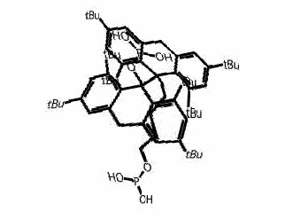 CC(C)(C)c1cc2c(c(C(C)(C)C)c1)C(CCCCOP(O)O)(C1(OP(O)O)c3c(cc(C(C)(C)C)cc3C(C)(C)C)Cc3cc(C(C)(C)C)cc(C(C)(C)C)c31)c1c(cc(C(C)(C)C)cc1C(C)(C)C)C2